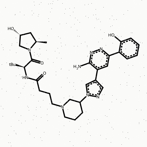 C[C@@H]1C[C@@H](O)CN1C(=O)[C@@H](NC(=O)CCCN1CCCC(n2cc(-c3cc(-c4ccccc4O)nnc3N)cn2)C1)C(C)(C)C